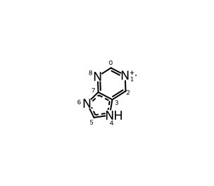 C1=[N+]C=c2[nH]cnc2=N1